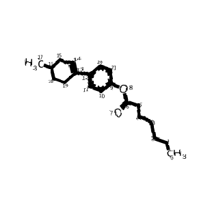 CCCCCCC(=O)Oc1ccc(C2=CCC(C)CC2)cc1